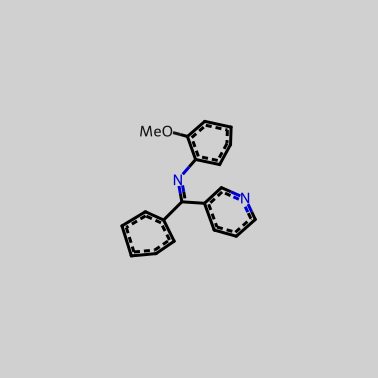 COc1ccccc1N=C(c1ccccc1)c1cccnc1